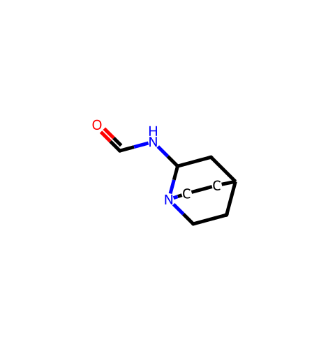 O=CNC1CC2CCN1CC2